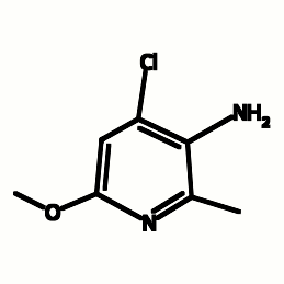 COc1cc(Cl)c(N)c(C)n1